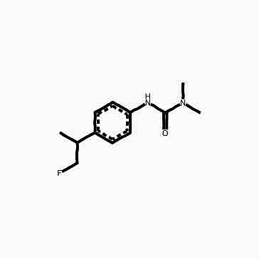 CC(CF)c1ccc(NC(=O)N(C)C)cc1